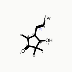 CCC/C=C/C1C(C)C(=O)C(C)(C)C1O